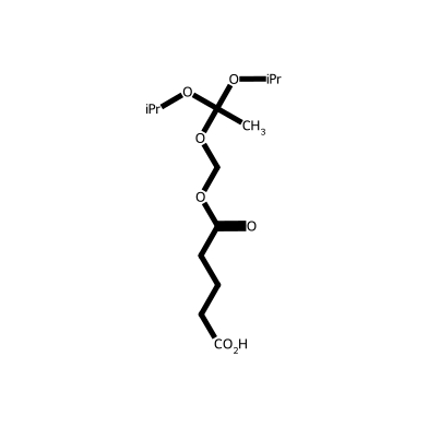 CC(C)OC(C)(OCOC(=O)CCCC(=O)O)OC(C)C